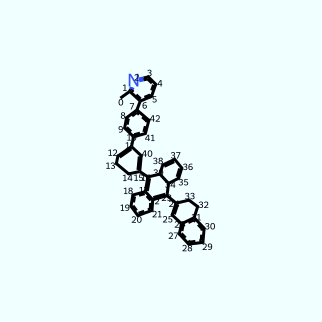 Cc1ncccc1-c1ccc(C2=CCCC(C3=c4ccccc4=C(C4=Cc5ccccc5CC4)C4C=CC=CC34)=C2)cc1